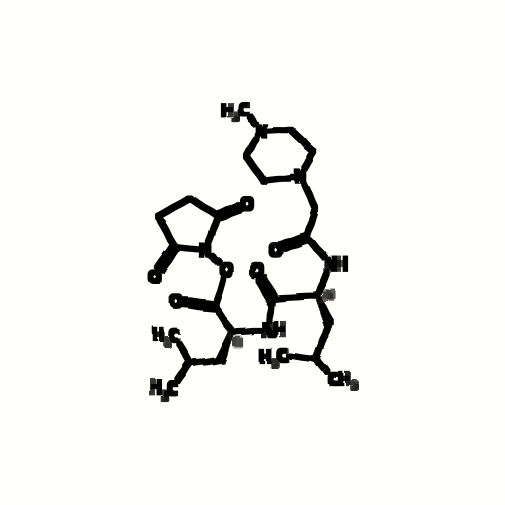 CC(C)C[C@H](NC(=O)CN1CCN(C)CC1)C(=O)N[C@@H](CC(C)C)C(=O)ON1C(=O)CCC1=O